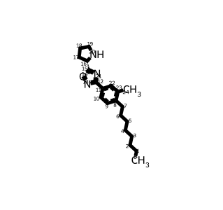 CCCCCCCCc1ccc(-c2noc([C@@H]3CCCN3)n2)cc1C